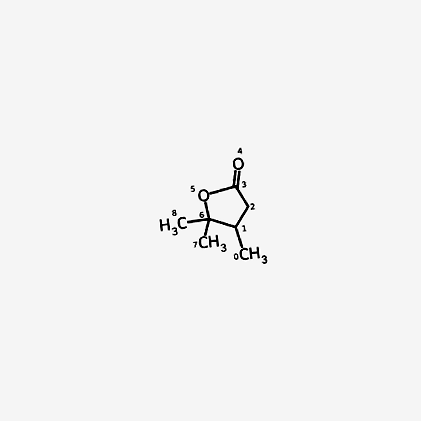 CC1CC(=O)OC1(C)C